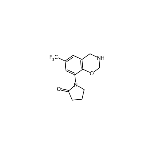 O=C1CCCN1c1cc(C(F)(F)F)cc2c1OCNC2